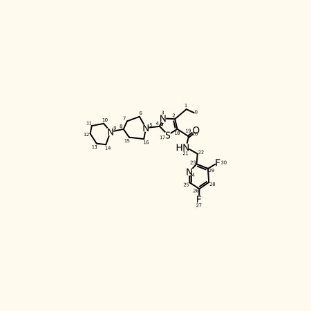 CCc1nc(N2CCC(N3CCCCC3)CC2)sc1C(=O)NCc1ncc(F)cc1F